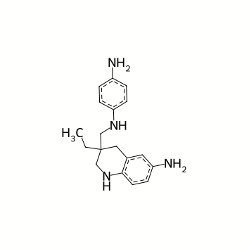 CCC1(CNc2ccc(N)cc2)CNc2ccc(N)cc2C1